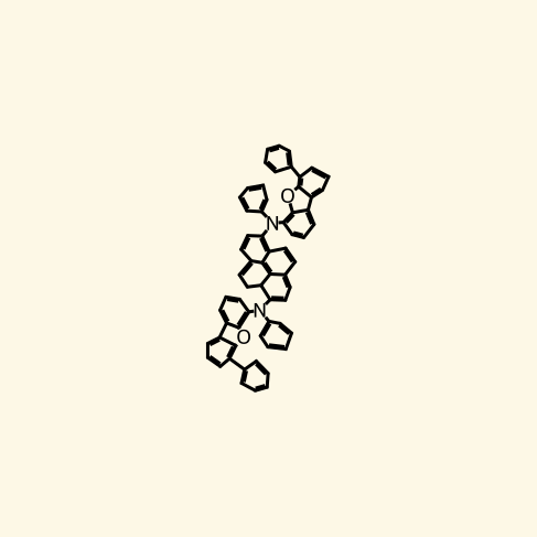 C1=C(N(c2ccccc2)c2cccc3c2oc2c(-c4ccccc4)cccc23)C2CC=c3ccc(N(c4ccccc4)c4cccc5c4oc4c(-c6ccccc6)cccc45)c4ccc(c2c34)=C1